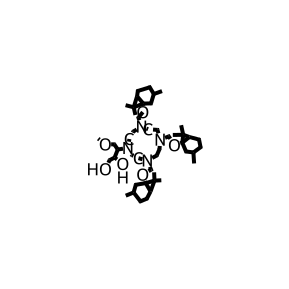 COCC(C(O)CO)N1CCN(COC23CC(C)CCC2C3(C)C)CCN(COC23CC(C)CCC2C3(C)C)CCN(COC23CC(C)CCC2C3(C)C)CC1